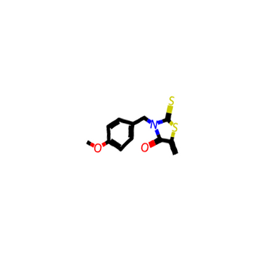 C=C1SC(=S)N(Cc2ccc(OC)cc2)C1=O